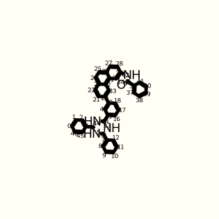 c1ccc(C2NC(c3ccccc3)NC(c3cccc(-c4ccc5ccc6ccc7c(c6c5c4)OC(c4ccccc4)N7)c3)N2)cc1